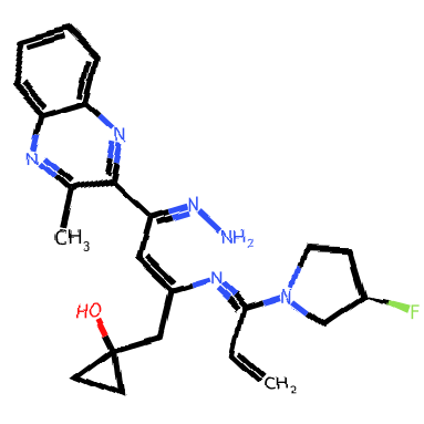 C=C\C(=N/C(=C\C(=N/N)c1nc2ccccc2nc1C)CC1(O)CC1)N1CC[C@@H](F)C1